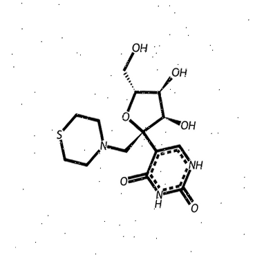 O=c1[nH]cc([C@]2(CN3CCSCC3)O[C@H](CO)[C@@H](O)[C@H]2O)c(=O)[nH]1